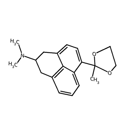 CN(C)C1Cc2cccc3c(C4(C)OCCO4)ccc(c23)C1